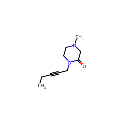 CCC#CCN1CCN(C)CC1=O